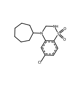 O=S1(=O)NCN(C2CCCCCC2)c2cc(Cl)ccc21